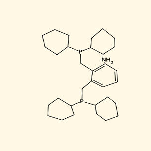 Nc1cccc(CP(C2CCCCC2)C2CCCCC2)c1CP(C1CCCCC1)C1CCCCC1